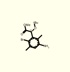 COC(=O)[C@@H](OC(C)(C)C)c1c(C)c(N)cc(C)c1Br